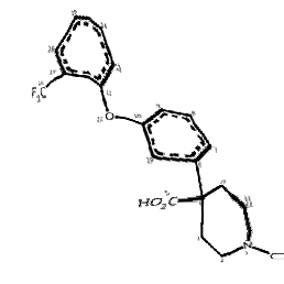 CN1CCC(C(=O)O)(c2cccc(Oc3ccccc3C(F)(F)F)c2)CC1